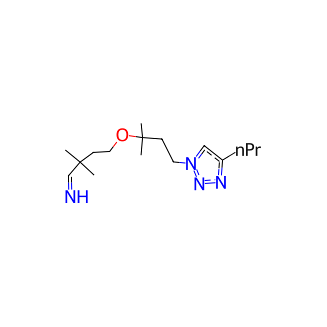 CCCc1cn(CCC(C)(C)OCCC(C)(C)C=N)nn1